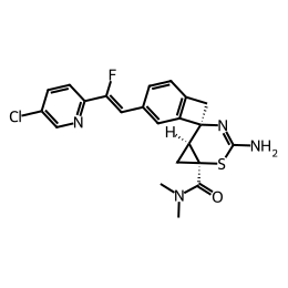 CN(C)C(=O)[C@]12C[C@H]1[C@]1(Cc3ccc(/C=C(\F)c4ccc(Cl)cn4)cc31)N=C(N)S2